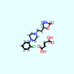 O=C(O)C=CC(=O)O.O=C1NCC(CCN2CCN(c3ccccc3Cl)CC2)O1